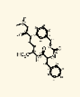 C[S+](C)CC(=O)CCCC(NC(=O)C(Cc1ccccc1)NC(=O)OCc1ccccc1)C(=O)O